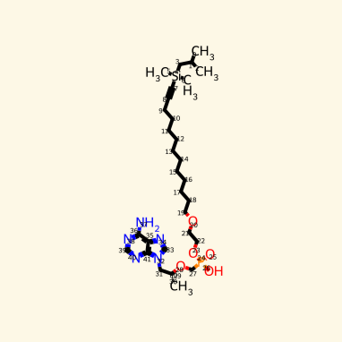 CC(C)C[Si](C)(C)C#CCCCCCCCCCCCOCCOP(=O)(O)CO[C@H](C)Cn1cnc2c(N)ncnc21